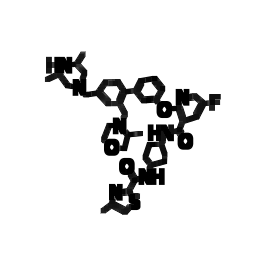 Cc1csc(C(=O)NC2CCC(NC(=O)c3cc(F)cnc3Oc3cccc(-c4ccc(CN5CC(C)NC(C)C5)cc4CN4CCOCC4C)c3)CC2)n1